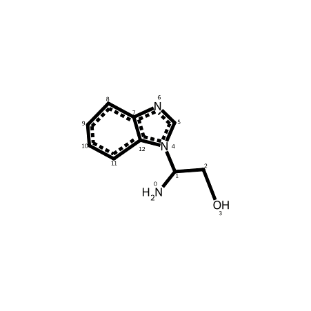 NC(CO)n1cnc2ccccc21